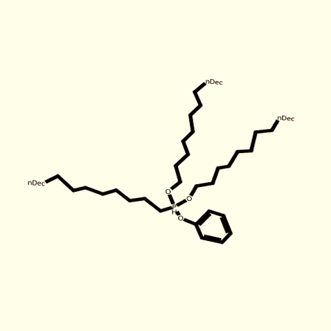 CCCCCCCCCCCCCCCCCCO[PH](CCCCCCCCCCCCCCCCCC)(OCCCCCCCCCCCCCCCCCC)Oc1ccccc1